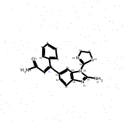 NC(=O)/C=C(\c1ccccc1)c1ccc2nc(N)n(C3=NCCS3)c2c1